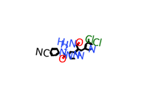 N#Cc1ccc(NC(=O)N2CCn3nc(-c4cnc(Cl)c(Cl)c4)c(C(N)=O)c3C2)cc1